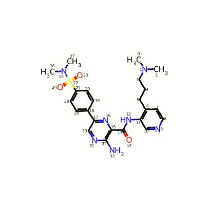 CN(C)CCCc1ccncc1NC(=O)c1nc(-c2ccc(S(=O)(=O)N(C)C)cc2)cnc1N